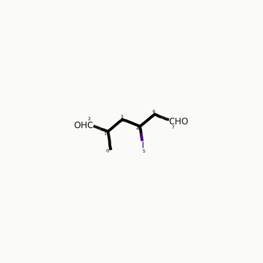 CC(C=O)CC(I)CC=O